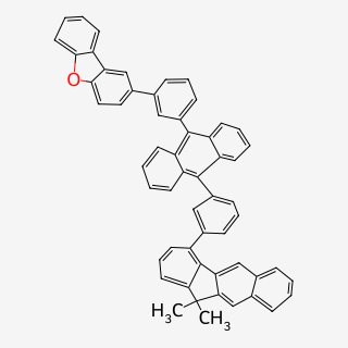 CC1(C)c2cc3ccccc3cc2-c2c(-c3cccc(-c4c5ccccc5c(-c5cccc(-c6ccc7oc8ccccc8c7c6)c5)c5ccccc45)c3)cccc21